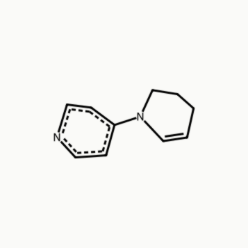 C1=CN(c2ccncc2)CCC1